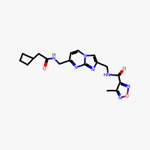 Cc1nonc1C(=O)NCc1cn2ccc(CNC(=O)CC3CCC3)nc2n1